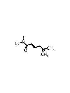 CCN(F)C(=O)/C=C/CN(C)C